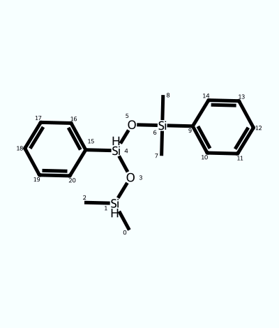 C[SiH](C)O[SiH](O[Si](C)(C)c1ccccc1)c1ccccc1